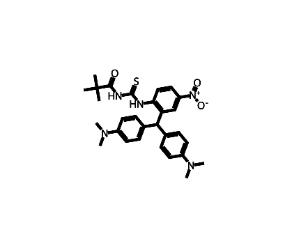 CN(C)c1ccc(C(c2ccc(N(C)C)cc2)c2cc([N+](=O)[O-])ccc2NC(=S)NC(=O)C(C)(C)C)cc1